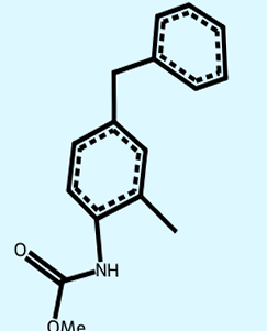 COC(=O)Nc1ccc(Cc2ccccc2)cc1C